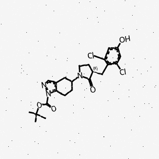 CC(C)(C)OC(=O)n1ncc2c1CCC(N1CC[C@@H](Cc3c(Cl)cc(O)cc3Cl)C1=O)C2